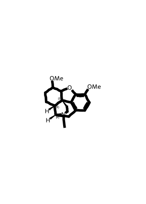 COc1ccc2c3c1OC1C(OC)CC[C@H]4[C@@H](C2)N(C)CC[C@]314